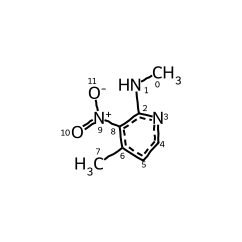 CNc1nccc(C)c1[N+](=O)[O-]